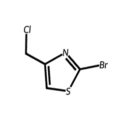 ClCc1csc(Br)n1